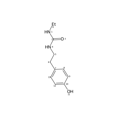 CCNC(=O)NCCc1ccc(O)cc1